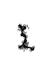 Cc1cccc(-c2nc(CNc3cccc4c3CCN(C(=O)OCc3ccc(NC(=O)[C@H](CCCNC(N)=O)NC(=O)C(NC(=O)CCCCCN5C(=O)C=CC5=O)C(C)C)cc3)C4)[nH]c2-c2ccc3ncnn3c2)n1